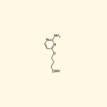 COCCCOc1ccnc(N)n1